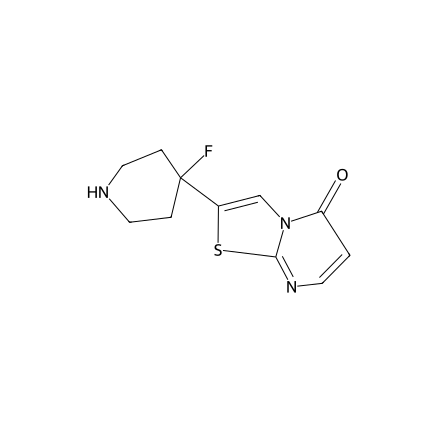 O=c1ccnc2sc(C3(F)CCNCC3)cn12